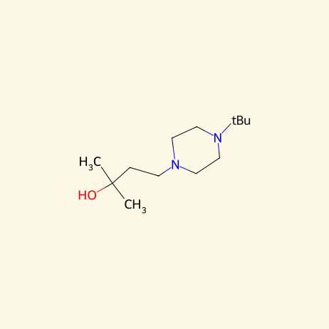 CC(C)(O)CCN1CCN(C(C)(C)C)CC1